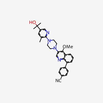 COc1c(N2CCN(c3ncc(C(C)(C)O)cc3C)CC2)cnc2c(-c3ccc(C#N)cc3)cccc12